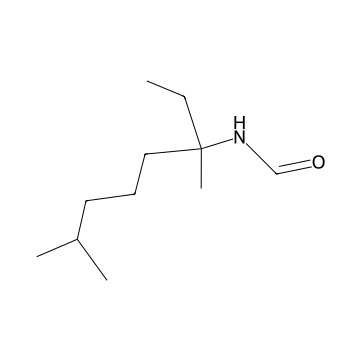 CCC(C)(CCCC(C)C)NC=O